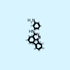 Nc1cccc(Nc2nnc3c4c(cccc24)-c2ccccc2-3)c1